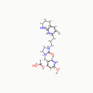 COc1ccc([C@H](CC(=O)O)N2CCN(CCCc3nc4c(cc3C)CCCN4)C2=O)cn1